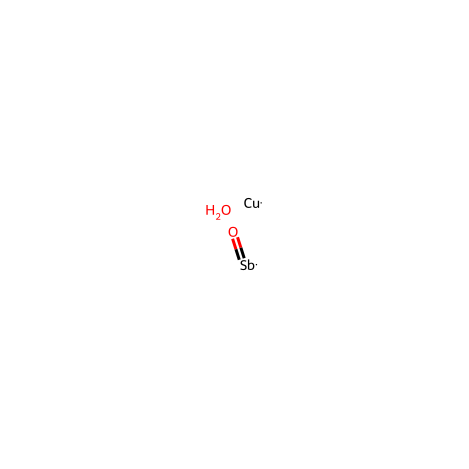 O.[Cu].[O]=[Sb]